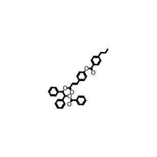 CCCc1ccc(C(=O)Oc2ccc(C=CC(=O)OC(c3ccccc3)C(OC(=O)c3cc[c]cc3)c3ccccc3)cc2)cc1